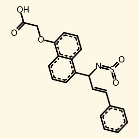 O=C(O)COc1cccc2c(C(C=Cc3ccccc3)N=S(=O)=O)cccc12